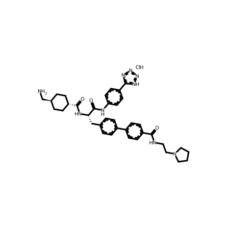 Cl.NC[C@H]1CC[C@H](C(=O)N[C@@H](Cc2ccc(-c3ccc(C(=O)NCCN4CCCC4)cc3)cc2)C(=O)Nc2ccc(-c3nnn[nH]3)cc2)CC1